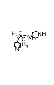 CC(C)(CNC1CCNCC1)Cc1ccncc1